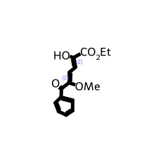 CCOC(=O)/C(O)=C/C=C(\OC)C(=O)c1ccccc1